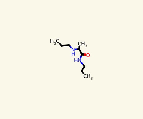 CCCNC(=O)C(C)NCCC